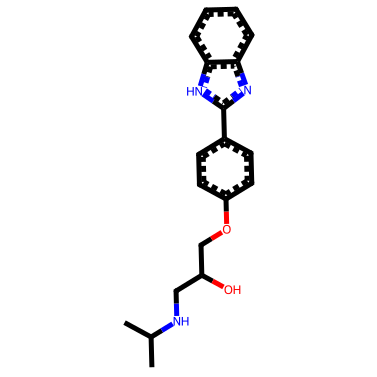 CC(C)NCC(O)COc1ccc(-c2nc3ccccc3[nH]2)cc1